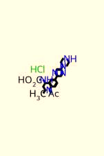 CC(=O)N1c2ccc(-c3cnc(N4CCNCC4)cn3)cc2C(NC(=O)O)CC1C.Cl